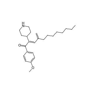 C=C(C=C(C(=O)c1ccc(OC)cc1)C1CCNCC1)CCCCCCCC